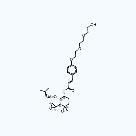 CO[C@@H]1[C@H](OC(=O)/C=C/c2ccc(OCCOCCOCCO)cc2)CC[C@]2(CO2)[C@H]1[C@@]1(C)O[C@@H]1CC=C(C)C